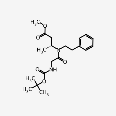 COC(=O)C[C@@H](C)N(CCc1ccccc1)C(=O)CNC(=O)OC(C)(C)C